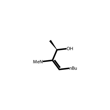 CCCC/C=C(/NC)[C@@H](C)O